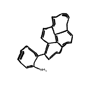 Nc1ccccc1-c1ccc2ccc3cccc4ccc1c2c34